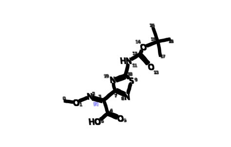 CO/N=C(\C(=O)O)c1nsc(NC(=O)OC(C)(C)C)n1